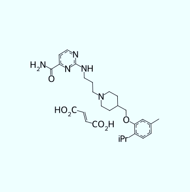 Cc1ccc(C(C)C)c(OCC2CCN(CCCNc3nccc(C(N)=O)n3)CC2)c1.O=C(O)/C=C/C(=O)O